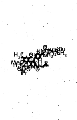 C=Cc1cc(C(=O)Nc2ccc(C(=N)NC(=O)OCCO[Si](C)(C)C(C)(C)C)cc2)c(-c2ccc(C(=O)NCC3CC3)nc2C(=O)OC(C)OC(=O)C(C)C)cc1OC